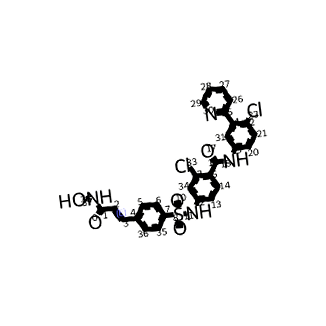 O=C(/C=C/c1ccc(S(=O)(=O)Nc2ccc(C(=O)Nc3ccc(Cl)c(-c4ccccn4)c3)c(Cl)c2)cc1)NO